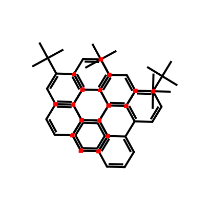 CC(C)(C)c1ccc(-c2ccccc2N(c2cc(C(C)(C)C)ccc2-c2ccccc2)c2ccccc2-c2cccc3cccc(-c4cc(C(C)(C)C)cc(C(C)(C)C)c4)c23)cc1